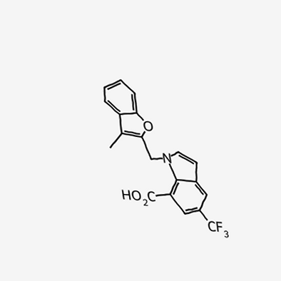 Cc1c(Cn2ccc3cc(C(F)(F)F)cc(C(=O)O)c32)oc2ccccc12